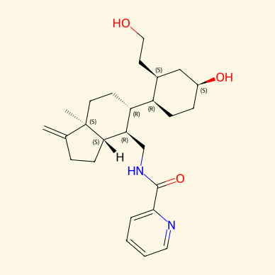 C=C1CC[C@H]2[C@H](CNC(=O)c3ccccn3)[C@@H]([C@@H]3CC[C@H](O)C[C@@H]3CCO)CC[C@]12C